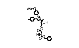 COc1ccc(-n2nc(C(C)(O)CCCOC(=O)CNC(=O)OCc3ccccc3)cc2-c2ccc(C)cc2)cc1